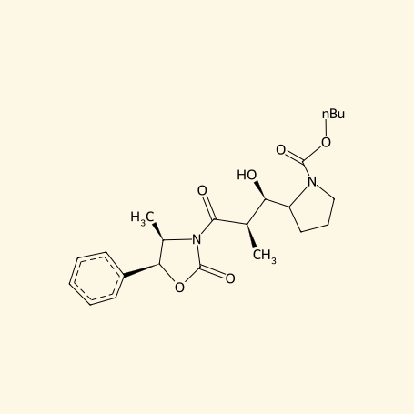 CCCCOC(=O)N1CCCC1[C@H](O)[C@@H](C)C(=O)N1C(=O)O[C@@H](c2ccccc2)[C@H]1C